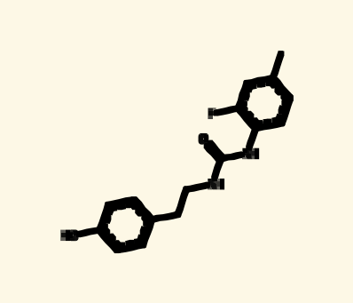 Cc1ccc(NC(=O)NCCc2ccc(O)cc2)c(F)c1